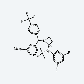 CC(C)(F)[C@@H](c1cc(F)cc(F)c1)[C@@H]1CCN1C(c1ccc(C(F)(F)F)cc1)c1cccc(C#N)c1